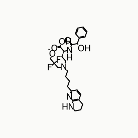 COCC(F)(F)CN(CCCCc1ccc2c(n1)NCCC2)CC[C@H](NC(=O)[C@H](O)c1ccccc1)C(=O)O